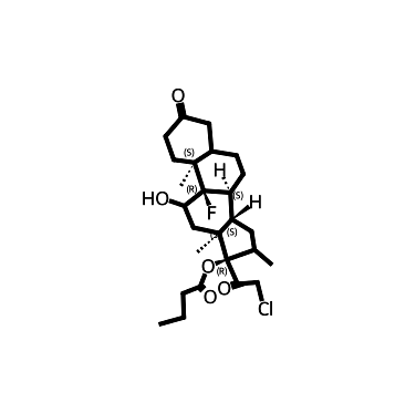 CCCC(=O)O[C@]1(C(=O)CCl)C(C)C[C@H]2[C@@H]3CCC4CC(=O)CC[C@]4(C)[C@@]3(F)C(O)C[C@@]21C